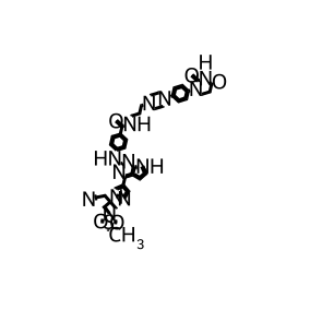 CCS(=O)(=O)N1CC(CC#N)(n2cc(-c3nc(Nc4ccc(C(=O)NCCCN5CCN(c6ccc(N7CCC(=O)NC7=O)cc6)CC5)cc4)nc4[nH]ccc34)cn2)C1